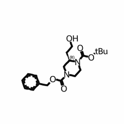 CC(C)(C)OC(=O)N1CCN(C(=O)OCc2ccccc2)C[C@H]1CCO